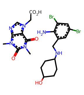 Cn1c(=O)c2c(ncn2CC(=O)O)n(C)c1=O.Nc1c(Br)cc(Br)cc1CNC1CCC(O)CC1